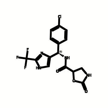 O=C1NCC(C(=O)N[C@@H](c2ccc(Cl)cc2)c2c[nH]c(C(F)(F)F)n2)O1